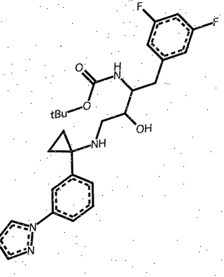 CC(C)(C)OC(=O)NC(Cc1cc(F)cc(F)c1)C(O)CNC1(c2cccc(-n3cccn3)c2)CC1